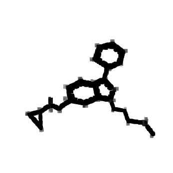 COCCCn1nc(-c2ccccc2)c2ccc(CNC3CC3)cc21